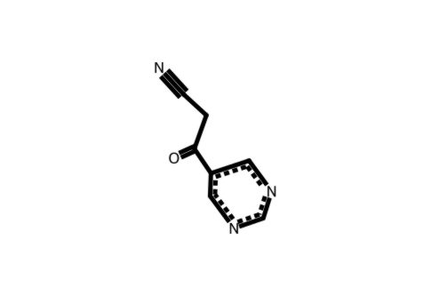 N#CCC(=O)c1cncnc1